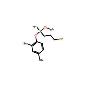 CCCO[Si](CCC)(CCCS)Oc1ccc(C(C)(C)C)cc1C(C)(C)C